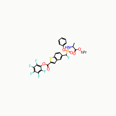 CCCOC(=O)C(C)N[P@](=O)(Oc1ccccc1)C(F)c1ccc2sc(C(=O)Oc3c(F)c(F)c(F)c(F)c3F)cc2c1